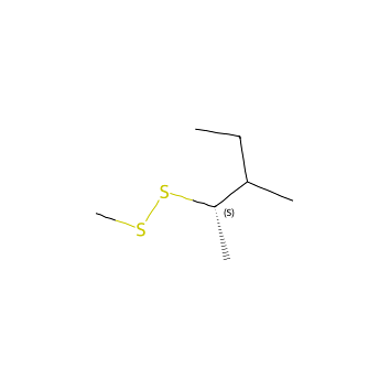 CCC(C)[C@H](C)SSC